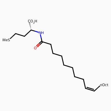 CCCCCCCC/C=C\CCCCCCCC(=O)N[C@H](CCSC)C(=O)O